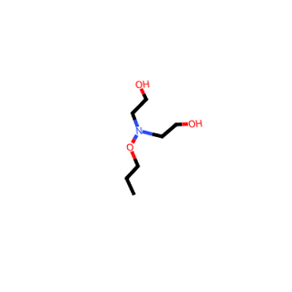 CCCON(CCO)CCO